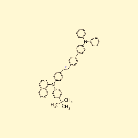 CC(C)(C)c1ccc(N(c2ccc(/C=C/c3ccc(-c4ccc(N(c5ccccc5)c5ccccc5)cc4)cc3)cc2)c2cccc3ccccc23)cc1